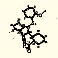 COc1ccccc1Sc1c(-c2ccccc2C(N)=O)[nH]c2ccsc12